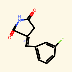 O=C1C/C(=C\c2cccc(F)c2)C(=O)N1